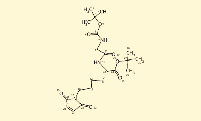 CC(C)(C)OC(=O)NCC(=O)N[C@@H](CCCCN1C(=O)C=CC1=O)C(=O)OC(C)(C)C